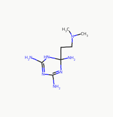 CN(C)CCC1(N)N=C(N)N=C(N)N1